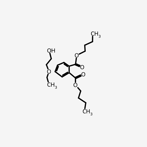 CCCCOC(=O)c1ccccc1C(=O)OCCCC.CCOCCO